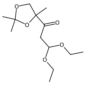 CCOC(CC(=O)C1(C)COC(C)(C)O1)OCC